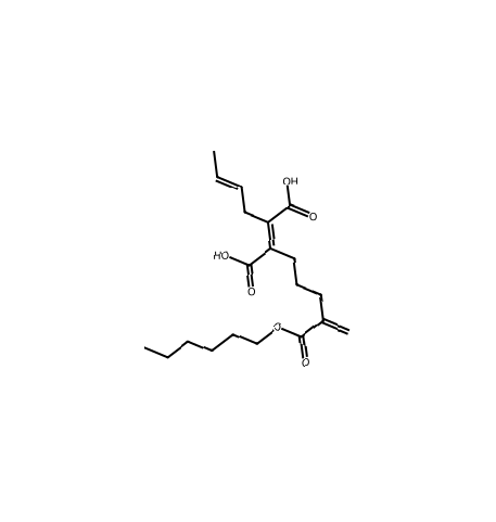 C=C(CCCC(C(=O)O)=C(CC=CC)C(=O)O)C(=O)OCCCCCC